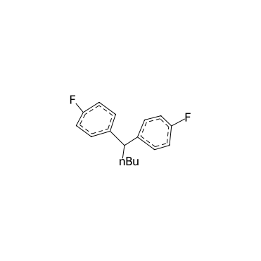 CCCCC(c1ccc(F)cc1)c1ccc(F)cc1